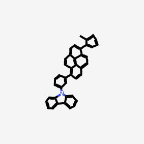 Cc1ccccc1-c1ccc2ccc3c(-c4cccc(-n5c6ccccc6c6ccccc65)c4)ccc4ccc1c2c43